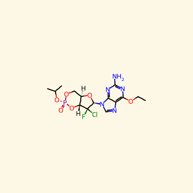 CCOc1nc(N)nc2c1ncn2[C@@H]1O[C@@H]2CO[P@@](=O)(OC(C)C)O[C@H]2[C@@]1(F)Cl